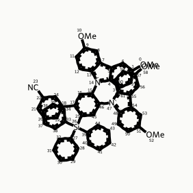 COc1ccc2c(c1)c1cc(OC)ccc1n2-c1cc(-c2cccc(C#N)c2)c([Si](c2ccccc2)(c2ccccc2)c2ccccc2)cc1-n1c2ccc(OC)cc2c2cc(OC)ccc21